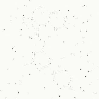 Cc1nc(CN(C)C2c3ncccc3CCC23CC3)cc(N2CCN(C)CC2)n1